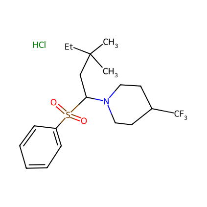 CCC(C)(C)CC(N1CCC(C(F)(F)F)CC1)S(=O)(=O)c1ccccc1.Cl